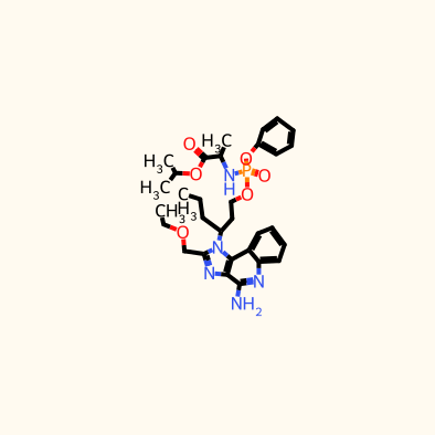 CCCC(CCOP(=O)(NC(C)C(=O)OC(C)C)Oc1ccccc1)n1c(COCC)nc2c(N)nc3ccccc3c21